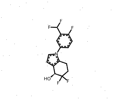 O[C@H]1c2[c]cn(-c3ccc(F)c(C(F)F)c3)c2CCC1(F)F